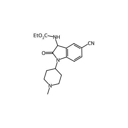 CCOC(=O)NC1C(=O)N(C2CCN(C)CC2)c2ccc(C#N)cc21